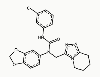 O=C(Nc1cccc(Cl)c1)N(Cc1nnc2n1CCCC2)c1ccc2c(c1)OCO2